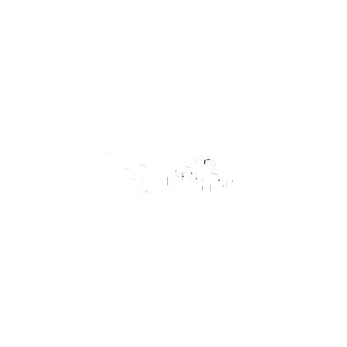 C=C(/C=C(/C)NC(=C)/C(C)=C\N)CCC(C)/C=C\C(F)=C/CF